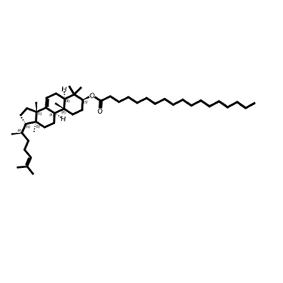 CCCCCCCCCCCCCCCCCC(=O)O[C@H]1CC[C@]2(C)[C@H]3CC[C@@]4(C)[C@H]([C@H](C)CCC=C(C)C)CC[C@]4(C)C3=CC[C@H]2C1(C)C